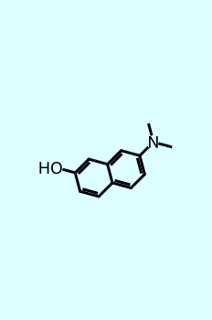 CN(C)c1ccc2ccc(O)cc2c1